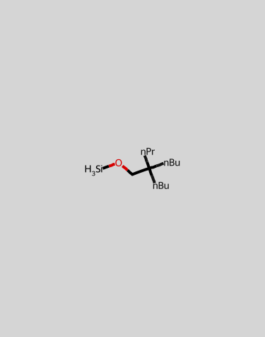 CCCCC(CCC)(CCCC)CO[SiH3]